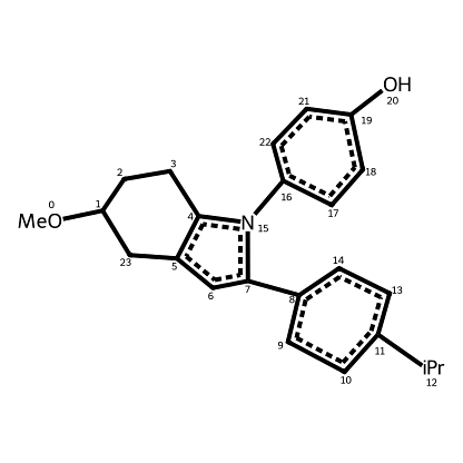 COC1CCc2c(cc(-c3ccc(C(C)C)cc3)n2-c2ccc(O)cc2)C1